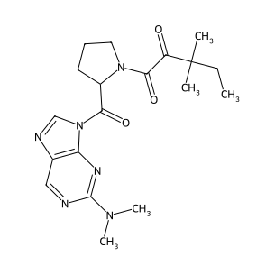 CCC(C)(C)C(=O)C(=O)N1CCCC1C(=O)n1cnc2cnc(N(C)C)nc21